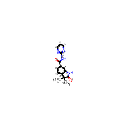 CC1(C)C(=O)Nc2cc(C(=O)Nc3ncccn3)ccc21